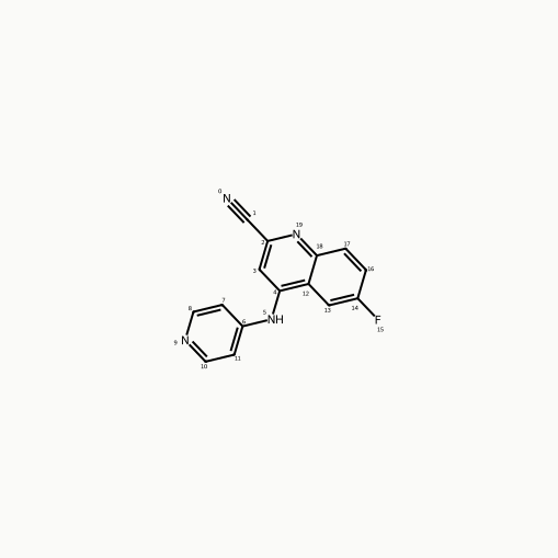 N#Cc1cc(Nc2ccncc2)c2cc(F)ccc2n1